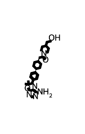 CC1(C)Oc2ncnc(N)c2N=C1c1ccc([C@H]2CC[C@H](CC(=O)N3CCC(CCO)CC3)CC2)cc1